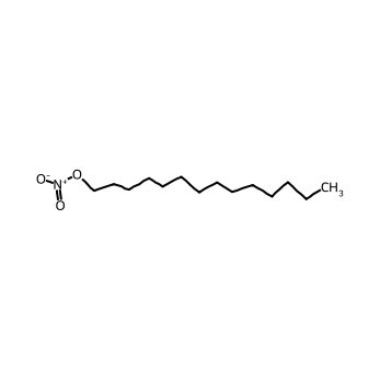 CCCCCCCCCCCCCCO[N+](=O)[O-]